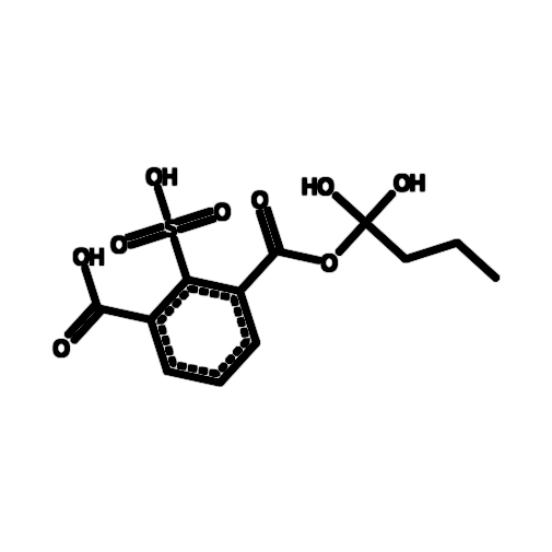 CCCC(O)(O)OC(=O)c1cccc(C(=O)O)c1S(=O)(=O)O